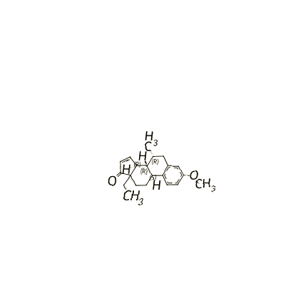 CCC12CC[C@@H]3c4ccc(OC)cc4C[C@@H](C)[C@H]3[C@@H]1C=CC2=O